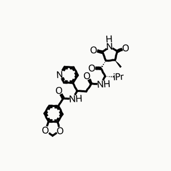 CC(C)[C@H](NC(=O)CC(NC(=O)c1ccc2c(c1)OCO2)c1cccnc1)C(=O)[C@@H]1C(=O)NC(=O)[C@H]1C